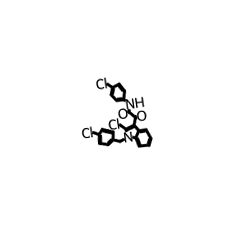 O=C(Nc1ccc(Cl)cc1)C(=O)c1c(Cl)n(Cc2ccc(Cl)cc2)c2ccccc12